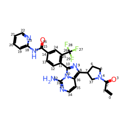 C=CC(=O)N1CCC(c2nc(-c3ccc(C(=O)Nc4ccccn4)cc3C(F)(F)F)n3c(N)nccc23)C1